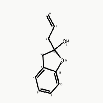 C=CCC1(O)[C]c2ccccc2O1